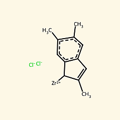 CC1=Cc2cc(C)c(C)cc2[CH]1[Zr+2].[Cl-].[Cl-]